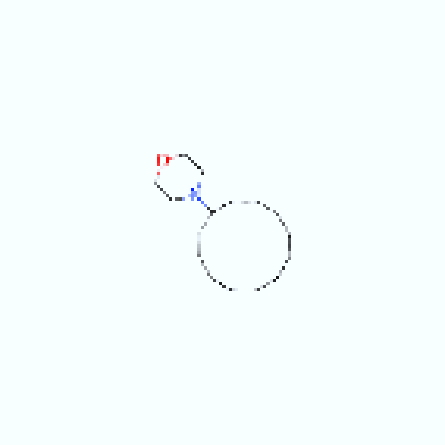 C1CCCCCC(N2CCOCC2)CCCCC1